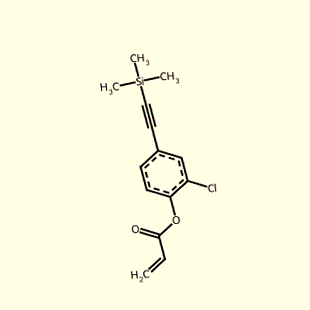 C=CC(=O)Oc1ccc(C#C[Si](C)(C)C)cc1Cl